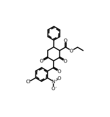 CCOC(=O)C1C(=O)C(C(=O)c2ccc(Cl)cc2[N+](=O)[O-])C(=O)CC1c1ccccc1